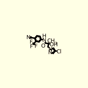 CC(O)(Cn1cc(Cl)cn1)C(=O)Nc1ccc(C#N)c(C(F)(F)F)c1